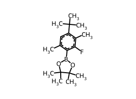 Cc1cc(C(C)(C)C)c(C)c(F)c1B1OC(C)(C)C(C)(C)O1